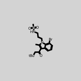 Cc1c(C(=O)CC(C)(C)C)c2cccc(Br)c2n1CCCNS(C)(=O)=O